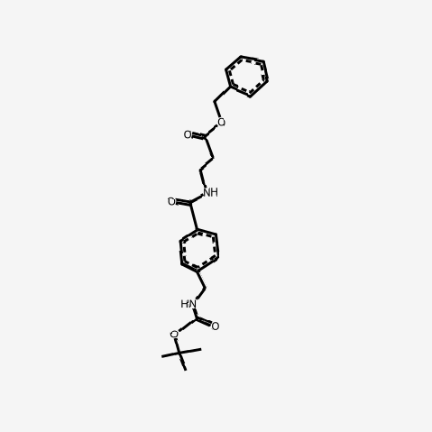 CC(C)(C)OC(=O)NCc1ccc(C(=O)NCCC(=O)OCc2ccccc2)cc1